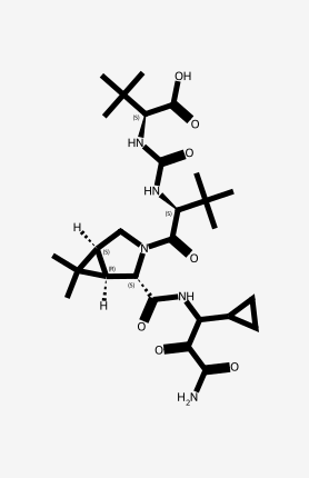 CC(C)(C)[C@H](NC(=O)N[C@H](C(=O)N1C[C@H]2[C@@H]([C@H]1C(=O)NC(C(=O)C(N)=O)C1CC1)C2(C)C)C(C)(C)C)C(=O)O